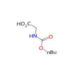 CCCCOC(=O)NCC(=O)O